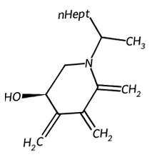 C=C1C(=C)[C@@H](O)CN(C(C)CCCCCCC)C1=C